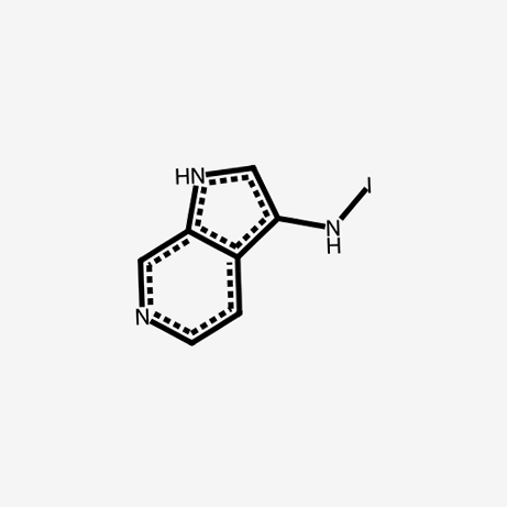 INc1c[nH]c2cnccc12